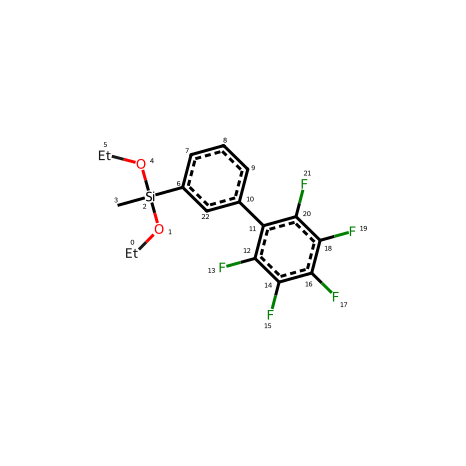 CCO[Si](C)(OCC)c1cccc(-c2c(F)c(F)c(F)c(F)c2F)c1